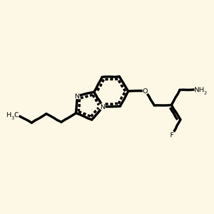 CCCCc1cn2cc(OC/C(=C\F)CN)ccc2n1